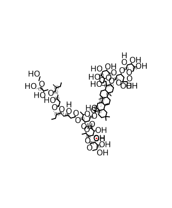 CC[C@H](C)[C@H](C[C@H](O)CC(=O)O[C@@H](C[C@H](O)CC(=O)O[C@@H]1C(C)O[C@@H](OC(=O)[C@]23CCC(C)(C)CC2C2=CCC4[C@@]5(C)CC[C@H](O[C@@H]6OC(O)(C(=O)O)CC(O[C@@H]7OC[C@@H](O)C(O)C7O)C6O[C@@H]6OC(CO)[C@H](O)C(O)C6O)[C@@](C)(C=O)C5CC[C@@]4(C)[C@]2(C)C[C@H]3O)C(O[C@@H]2OC(C)[C@H](O[C@H]3OCC(O)[C@H](O)C3O)C(O)C2O)C1O)[C@@H](C)CC)OCC(O)[C@H](CO)OCCO